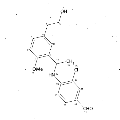 COc1ccc(CCO)cc1C(C)Nc1ccc(C=O)cc1Cl